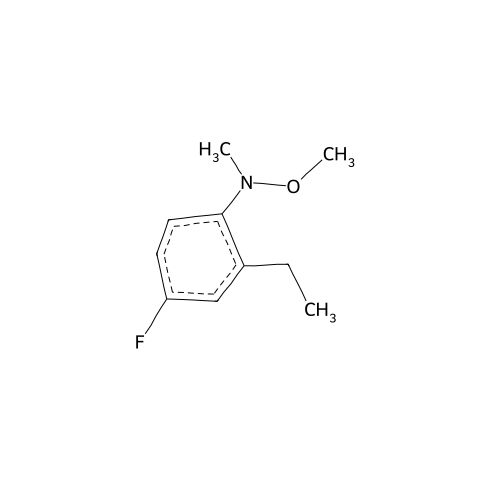 CCc1cc(F)ccc1N(C)OC